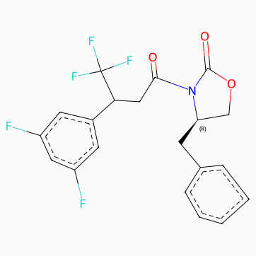 O=C(CC(c1cc(F)cc(F)c1)C(F)(F)F)N1C(=O)OC[C@H]1Cc1ccccc1